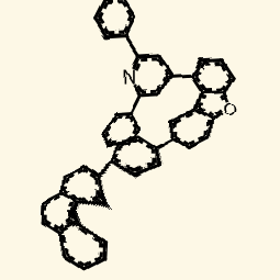 c1ccc(-c2cc(-c3cccc4oc5ccc(-c6ccc(-c7ccc8ccc9ccccc9c8c7)cc6)cc5c34)cc(-c3ccccc3)n2)cc1